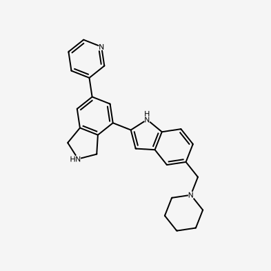 c1cncc(-c2cc3c(c(-c4cc5cc(CN6CCCCC6)ccc5[nH]4)c2)CNC3)c1